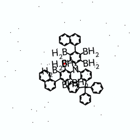 Bc1c(B)c(N(c2cccc3c2-c2ccccc2C3(c2ccccc2)c2ccccc2)c2c(B)c(B)c(-c3cccc4ccccc34)c(B)c2B)c(B)c(B)c1-c1cccc2ccccc12